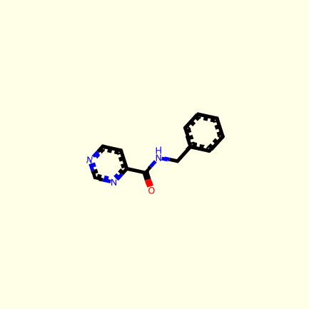 O=C(NCc1ccccc1)c1ccncn1